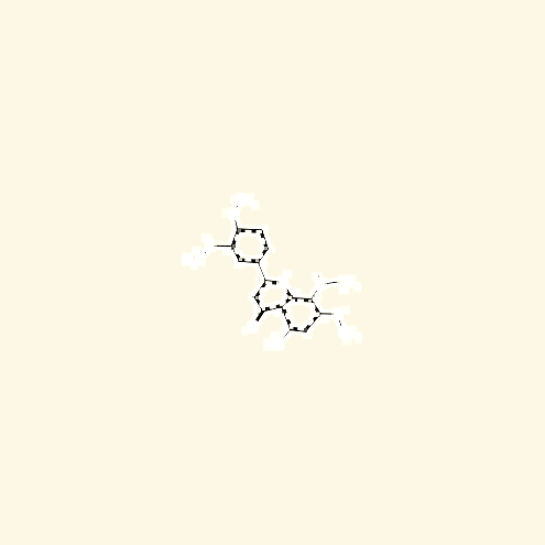 COc1ccc(-c2cc(=O)c3c(O)cc(OC)c(OC)c3o2)cc1OC